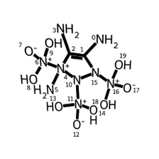 NC1=C(N)[N+](N)([N+]([O-])(O)O)N([N+]([O-])(O)O)N1[N+]([O-])(O)O